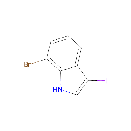 Brc1cccc2c(I)c[nH]c12